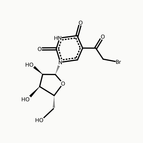 O=C(CBr)c1cn([C@@H]2O[C@H](CO)[C@@H](O)[C@H]2O)c(=O)[nH]c1=O